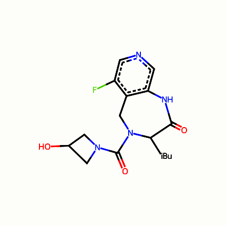 CCC(C)C1C(=O)Nc2cncc(F)c2CN1C(=O)N1CC(O)C1